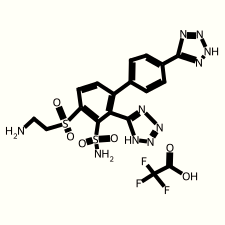 NCCS(=O)(=O)c1ccc(-c2ccc(-c3nn[nH]n3)cc2)c(-c2nnn[nH]2)c1S(N)(=O)=O.O=C(O)C(F)(F)F